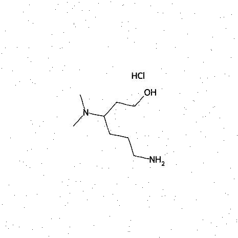 CN(C)C(CCO)CCCN.Cl